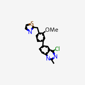 COc1cc(-c2ccc3nc(C)nc(Cl)c3c2)ccc1Cc1nccs1